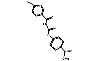 COC(=O)c1ccc(NC(=S)NC(=O)c2ccc(C(C)(C)C)cc2)cc1